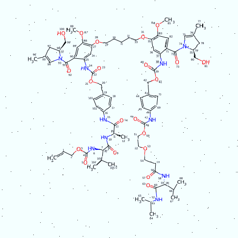 C=CCOC(=O)N[C@@H](C(=O)N[C@H](C)C(=O)Nc1ccc(COC(=O)Nc2cc(OCCCCCOc3cc(NC(=O)OCc4ccc(NC(=O)OCCOCCC(=O)N[C@@H](C(=O)NC(C)C)C(C)C)cc4)c(C(=O)N4C=C(C)C[C@H]4CO)cc3OC)c(OC)cc2C(=O)N2C=C(C)C[C@H]2CO)cc1)C(C)C